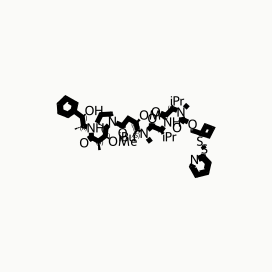 CC[C@H](C)[C@@H]([C@@H](CC(=O)N1CCC[C@H]1[C@H](OC)[C@@H](C)C(=O)N[C@H](C)[C@@H](O)c1ccccc1)OC)N(C)C(=O)[C@@H](NC(=O)[C@H](C(C)C)N(C)C(=O)OCC1(SSc2ccccn2)CCC1)C(C)C